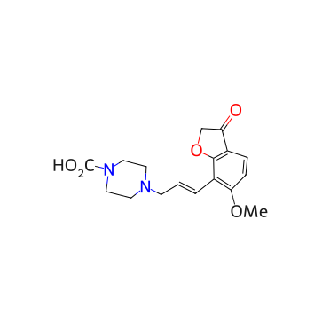 COc1ccc2c(c1C=CCN1CCN(C(=O)O)CC1)OCC2=O